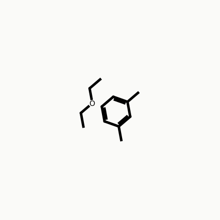 CCOCC.Cc1cccc(C)c1